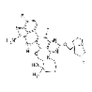 CC1(O)CCCCN2c3nc(OC[C@@]45CCCN4C[C@H](F)C5)nc4c(F)c(-c5ccc(F)c6sc(N)c(C#N)c56)c(Cl)c(c34)OCC21